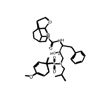 COC1=CCC(C)(S(=O)(=O)N(CC(C)C)C[C@@H](O)C(Cc2ccccc2)NC(=O)OC2C3CCC4C(OC3)OCC42)C=C1